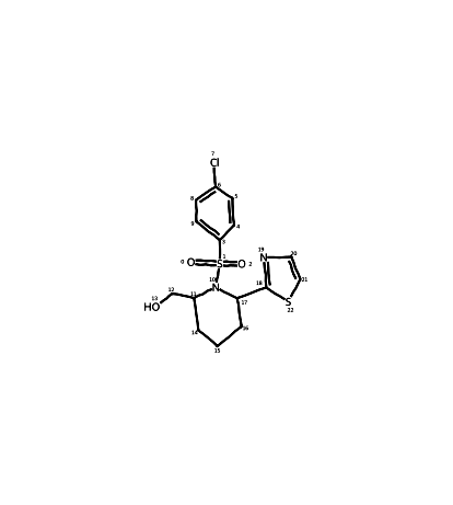 O=S(=O)(c1ccc(Cl)cc1)N1C(CO)CCCC1c1nccs1